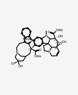 CC[C@]1(O)CC2CN(CCc3c([nH]c4ccccc34)[C@@](C(=O)OC)(c3cc4c(cc3OC)N(C)C3C45CCN4CC=C[C@](CC)(C45)[C@@H](O)[C@]3(O)C(=O)OC)C2)C1